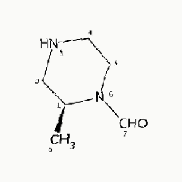 C[C@H]1CNCCN1C=O